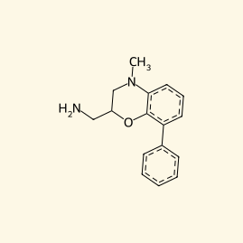 CN1CC(CN)Oc2c(-c3ccccc3)cccc21